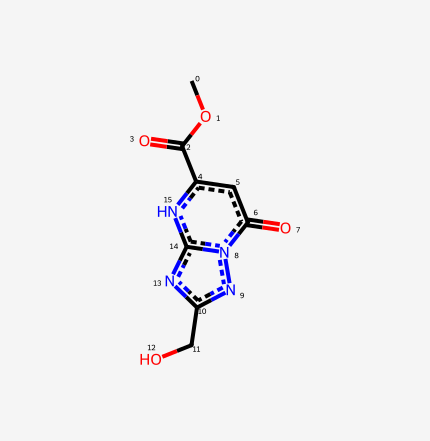 COC(=O)c1cc(=O)n2nc(CO)nc2[nH]1